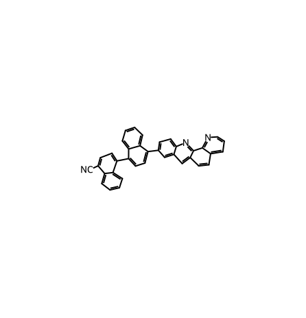 N#Cc1ccc(-c2ccc(-c3ccc4nc5c(ccc6cccnc65)cc4c3)c3ccccc23)c2ccccc12